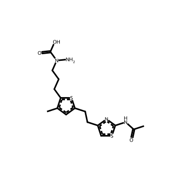 CC(=O)Nc1nc(CCc2cc(C)c(CCCN(N)C(=O)O)s2)cs1